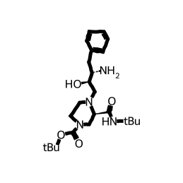 CC(C)(C)NC(=O)[C@H]1CN(C(=O)OC(C)(C)C)CCN1C[C@@H](O)[C@@H](N)Cc1ccccc1